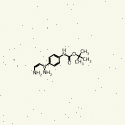 CC(C)(C)OC(=O)Nc1ccc(N(N)/C=C\N)cc1